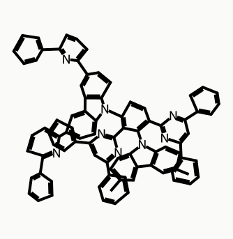 Cc1ccc2c(c1)c1cc(C)ccc1n2-c1c(-c2nc(-c3ccccc3)cc(-c3ccccc3)n2)ccc(-n2c3ccc(-c4cccc(-c5ccccc5)n4)cc3c3cc(-c4cccc(-c5ccccc5)n4)ccc32)c1-c1nc(-c2ccccc2)cc(-c2ccccc2)n1